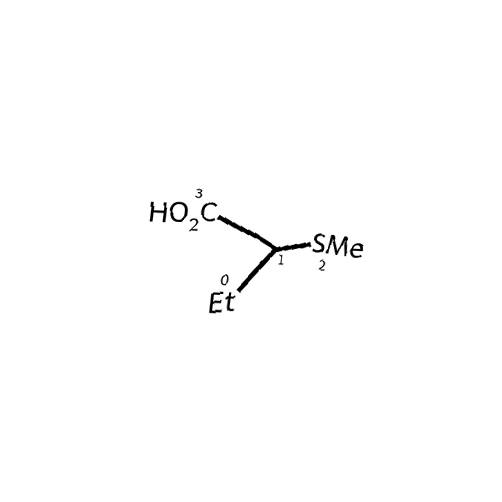 CCC(SC)C(=O)O